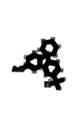 CCC(C)(C)c1ccc(C2(c3ccc(OC(C)=O)cc3)CCCCC2)cc1